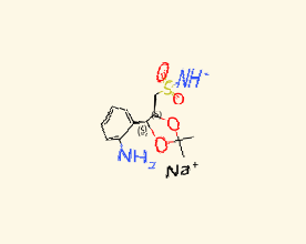 CC1(C)O[C@H](CS([NH-])(=O)=O)[C@H](c2ccccc2N)O1.[Na+]